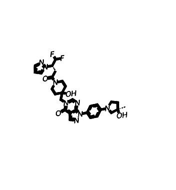 C[C@@]1(O)CCN(c2ccc(-n3ncc4c(=O)n(CC5(O)CCN(C(=O)C[C@@H](C(F)F)n6cccn6)CC5)cnc43)cc2)C1